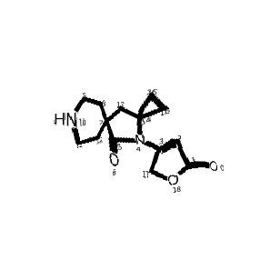 O=C1C=C(N2C(=O)C3(CCNCC3)CC23CC3)CO1